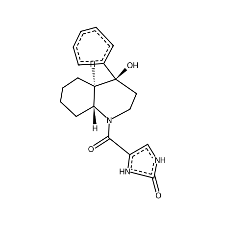 O=C(c1c[nH]c(=O)[nH]1)N1CC[C@@](O)(c2ccccc2)[C@@H]2CCCC[C@H]21